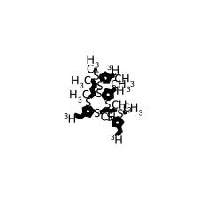 [3H]CCC1CC(SCC)=C(SC(CC)C2SC3=C(CC(C([3H])C)C3)SC(CC(CC)SC3=C(SCC)CC(C([3H])C)C3)C(C)SC3CC(CC[3H])CC3SC2C)C1